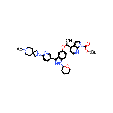 CC(=O)N1CCC2(CC1)CN(c1ccc(-c3nn(C4CCCCO4)c4ccc(OC(C)c5ccnc6c5ccn6C(=O)OC(C)(C)C)cc34)cn1)C2